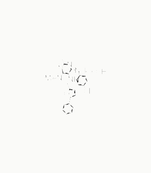 CNc1nc(C)nc(Nc2ccc(Cl)cc2C(=O)O)c1NCc1ccc(-c2ccccc2)o1